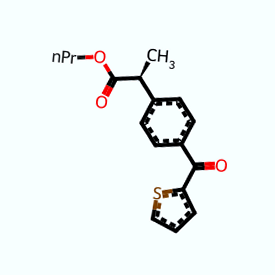 CCCOC(=O)[C@@H](C)c1ccc(C(=O)c2cccs2)cc1